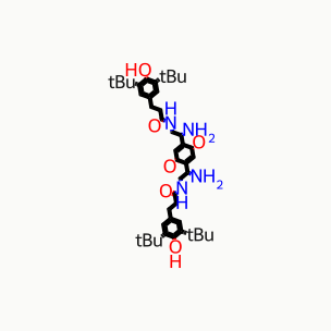 CC(C)(C)c1cc(CCC(=O)NCC(N)C2=CC(=O)C(C(N)CNC(=O)CCc3cc(C(C)(C)C)c(O)c(C(C)(C)C)c3)=CC2=O)cc(C(C)(C)C)c1O